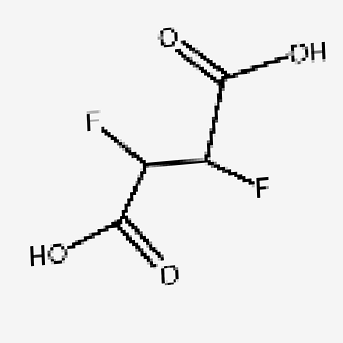 O=C(O)C(F)C(F)C(=O)O